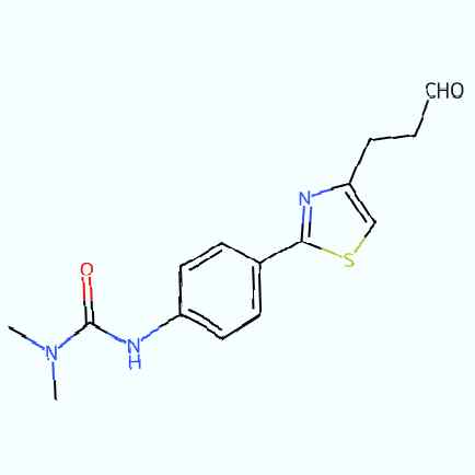 CN(C)C(=O)Nc1ccc(-c2nc(CCC=O)cs2)cc1